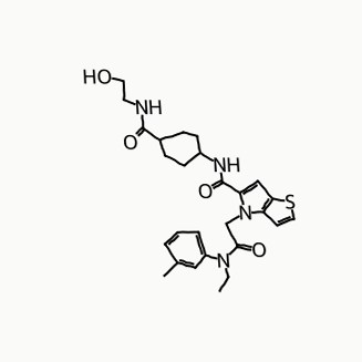 CCN(C(=O)Cn1c(C(=O)NC2CCC(C(=O)NCCO)CC2)cc2sccc21)c1cccc(C)c1